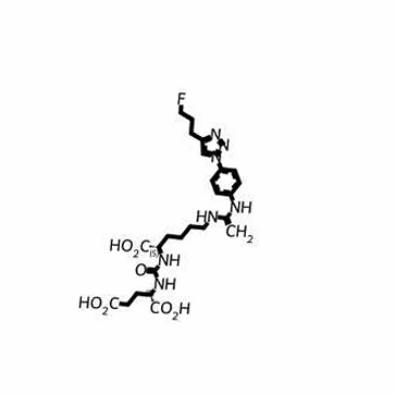 C=C(NCCCC[C@H](NC(=O)N[C@@H](CCC(=O)O)C(=O)O)C(=O)O)Nc1ccc(-n2cc(CCCF)nn2)cc1